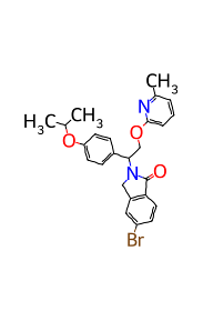 Cc1cccc(OCC(c2ccc(OC(C)C)cc2)N2Cc3cc(Br)ccc3C2=O)n1